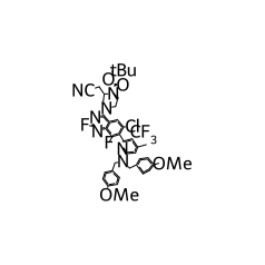 COc1ccc(CN(Cc2ccc(OC)cc2)c2cc(C)c(C(F)(F)F)c(-c3c(Cl)cc4c(N5CCN(C(=O)OC(C)(C)C)C(CC#N)C5)nc(F)nc4c3F)n2)cc1